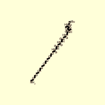 CC(C)(C)OC(=O)N[C@H]1CO[C@H]2[C@@H]1OC[C@@H]2NC(=O)CNC(=O)CNC(=O)CNC(=O)CNC(=O)CNC(=O)COCCOCCOCCOCCOCCOCCOCCOCCN